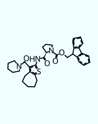 O=C(Nc1sc2c(c1C(=O)N1CCCCC1)CCCCC2)[C@H]1CCCN1C(=O)OCC1c2ccccc2-c2ccccc21